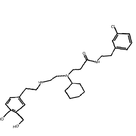 O=C(CCN(CCNCCc1ccc(O)c(CO)c1)C1CCCCC1)NCCc1cccc(Cl)c1